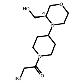 CC(C)(C)CC(=O)N1CCC(N2CCOC[C@@H]2CO)CC1